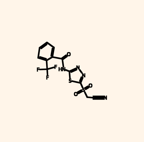 N#CCS(=O)(=O)c1nnc(NC(=O)c2ccccc2C(F)(F)F)s1